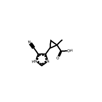 CC1(C(=O)O)CC1c1nc[nH]c1C#N